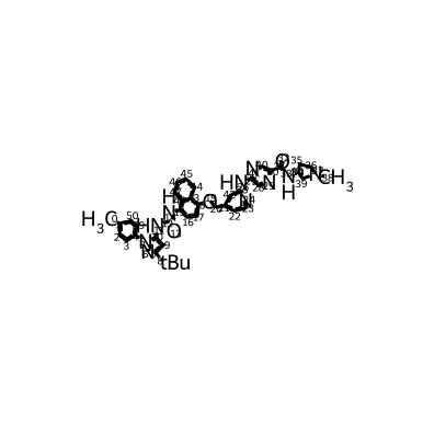 Cc1ccc(-n2nc(C(C)(C)C)cc2NC(=O)Nc2ccc(OCc3ccnc(Nc4cnc(C(=O)N[C@@H]5CCN(C)C5)cn4)c3)c3ccccc23)cc1